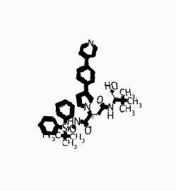 CC(C)(C)[C@@H](CO)NC(=O)C[C@H](C(=O)NO[Si](c1ccccc1)(c1ccccc1)C(C)(C)C)n1ccc(-c2ccc(-c3ccncc3)cc2)c1